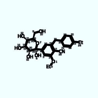 CCOc1cc([C@]2(O)O[C@H](CO)[C@@H](O)[C@H](O)[C@H]2O)cc(Cc2ccc(CC)cc2)c1C#N